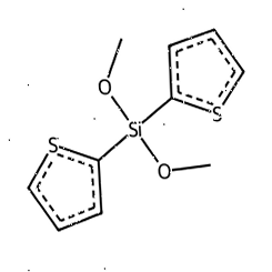 CO[Si](OC)(c1cccs1)c1cccs1